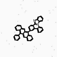 c1ccc(-c2c3ccccc3cc3c(-c4ccc5c(c4)c4ccccc4n4c6ccccc6nc54)c4ccccc4cc23)cc1